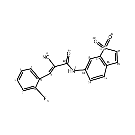 N#CC(=Cc1ccccc1F)C(=O)Nc1ccc2c(c1)S(=O)(=O)C=C2